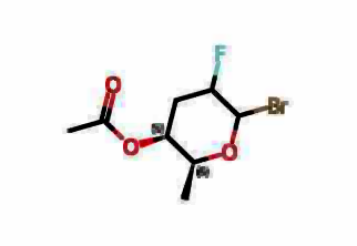 CC(=O)O[C@H]1CC(F)C(Br)O[C@H]1C